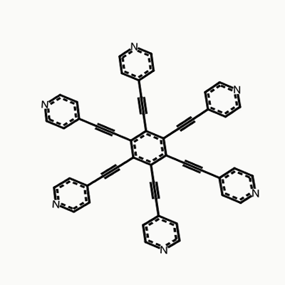 C(#Cc1c(C#Cc2ccncc2)c(C#Cc2ccncc2)c(C#Cc2ccncc2)c(C#Cc2ccncc2)c1C#Cc1ccncc1)c1ccncc1